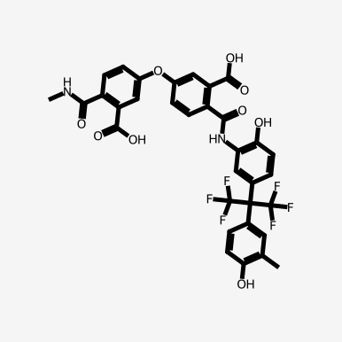 CNC(=O)c1ccc(Oc2ccc(C(=O)Nc3cc(C(c4ccc(O)c(C)c4)(C(F)(F)F)C(F)(F)F)ccc3O)c(C(=O)O)c2)cc1C(=O)O